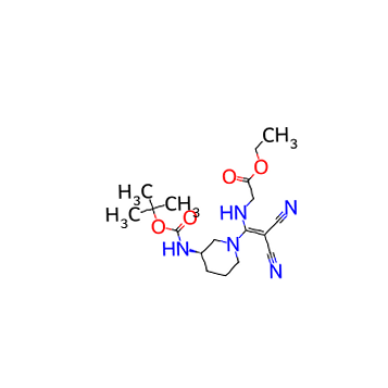 CCOC(=O)CNC(=C(C#N)C#N)N1CCC[C@@H](NC(=O)OC(C)(C)C)C1